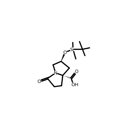 CC(C)(C)[Si](C)(C)O[C@@H]1CN2C(=O)CC[C@]2(C(=O)O)C1